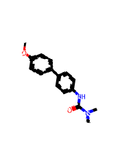 COc1ccc(-c2ccc(NC(=O)N(C)C)cc2)cc1